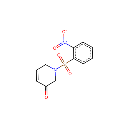 O=C1C=CCN(S(=O)(=O)c2ccccc2[N+](=O)[O-])C1